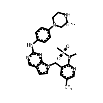 C[C@@H]1CN(c2ccc(Nc3ncc4ccn(Cc5cc(C(F)(F)F)cnc5N(C)S(C)(=O)=O)c4n3)cc2)CCN1